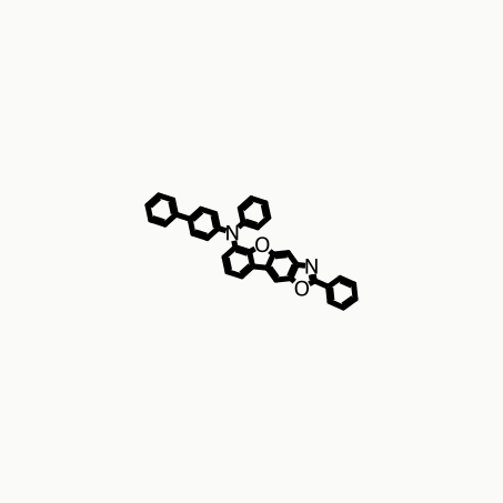 c1ccc(-c2ccc(N(c3ccccc3)c3cccc4c3oc3cc5nc(-c6ccccc6)oc5cc34)cc2)cc1